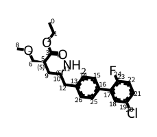 CCOC(=O)[C@H](COC)C[C@H](N)Cc1ccc(-c2cc(Cl)ccc2F)cc1